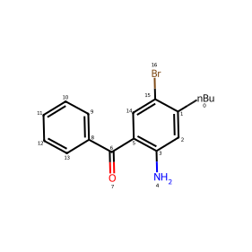 CCCCc1cc(N)c(C(=O)c2ccccc2)cc1Br